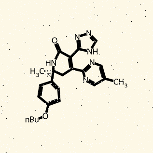 CCCCOc1ccc([C@]2(C)CC(c3ncc(C)cn3)=C(c3nnc[nH]3)C(=O)N2)cc1